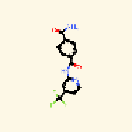 NC(=O)c1ccc(C(=O)Nc2cc(C(F)(F)F)ccn2)cc1